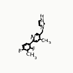 Cc1cc(-c2ccc(F)c(C)c2F)ncc1CN1C=CNC1